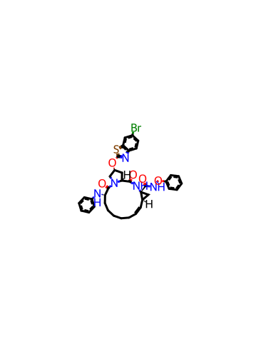 O=C1N[C@]2(C(=O)NOc3ccccc3)C[C@H]2/C=C\CCCCC[C@H](Nc2ccccc2)C(=O)N2C[C@H](Oc3nc4ccc(Br)cc4s3)C[C@@H]12